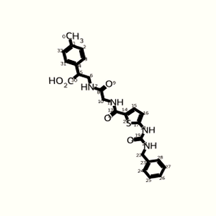 Cc1ccc(C(CNC(=O)CNC(=O)c2ccc(NC(=O)NCc3ccccc3)s2)C(=O)O)cc1